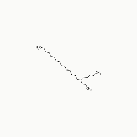 CCCCCCCCCCC=CCCCC(CCC)CCCCC